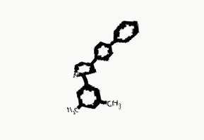 Cc1cc(C)cc(-c2cc(-c3ccc(-c4ccccc4)cc3)ccn2)c1